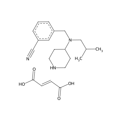 CC(C)CN(Cc1cccc(C#N)c1)C1CCNCC1.O=C(O)C=CC(=O)O